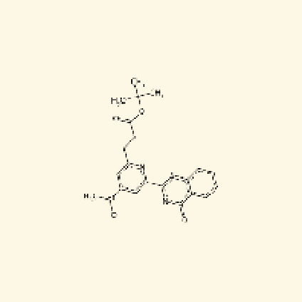 C[S+]([O-])c1cc(CCC(=O)OC(C)(C)C)nc(-c2nc(=O)c3ccccc3s2)c1